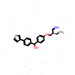 CC[C@H](C=N)COc1ccc(C(O)c2ccc(-c3ccsc3)cc2)cc1